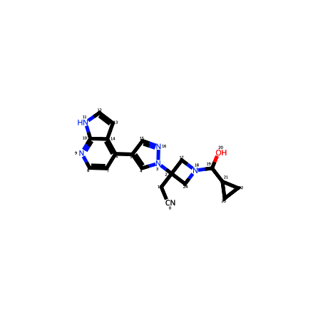 N#CCC1(n2cc(-c3ccnc4[nH]ccc34)cn2)CN(C(O)C2CC2)C1